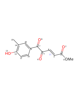 COC(=O)/C=C/C(=O)C(=O)c1ccc(O)c(C)c1